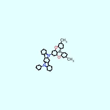 Cc1ccc2c(c1)Oc1cc(-n3c4ccccc4c4cc5c(cc43)c3ccccc3n5-c3ccccc3)cc3c1B2c1ccc(C)cc1O3